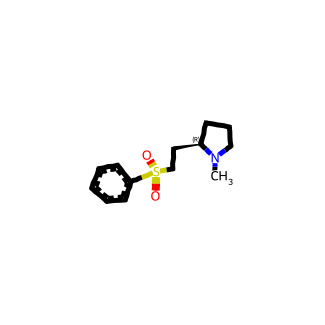 CN1CCC[C@@H]1CCS(=O)(=O)c1ccccc1